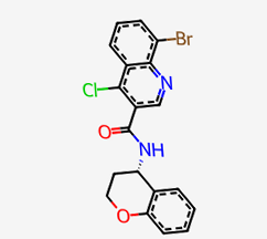 O=C(N[C@H]1CCOc2ccccc21)c1cnc2c(Br)cccc2c1Cl